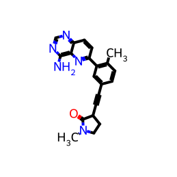 Cc1ccc(C#CC2CCN(C)C2=O)cc1-c1ccc2ncnc(N)c2n1